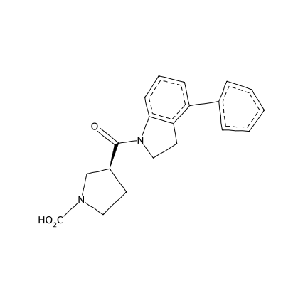 O=C(O)N1CC[C@H](C(=O)N2CCc3c(-c4ccccc4)cccc32)C1